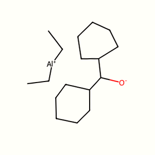 C[CH2][Al+][CH2]C.[O-]C(C1CCCCC1)C1CCCCC1